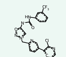 O=C([N-]c1c[n+](Cc2ccc(-c3cccnc3Cl)cn2)no1)Nc1cccc(C(F)(F)F)c1